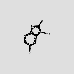 CC(=O)n1c(C)nc2ncc(Br)cc21